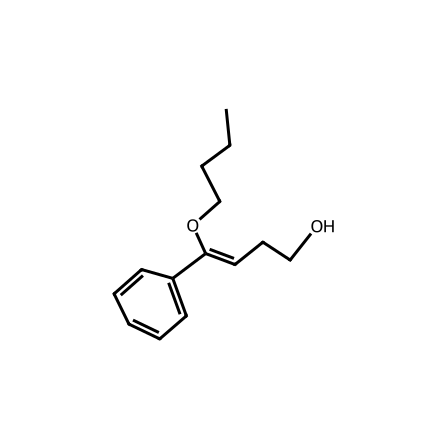 CCCCOC(=CCCO)c1ccccc1